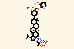 C=C(C)[C@@H]1CC[C@]2(NCC(C)(O)C(=O)O)CC[C@]3(C)[C@H](CCC4[C@@]5(C)CC=C(C6=CC[C@](COc7ncccc7C#N)(C(=O)O)CC6)C(C)(C)C5CC[C@]43C)C12